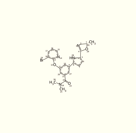 C[C@H]1CN=C(c2ccc(-c3cc(Oc4ncccc4Br)cc(C(=O)N(C)C)c3)[nH]2)O1